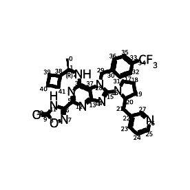 C[C@@H](Nc1nc(-c2noc(=O)[nH]2)nc2nc(N3CCCC3Cc3cccnc3)n(Cc3ccc(C(F)(F)F)cc3)c12)C1CCC1